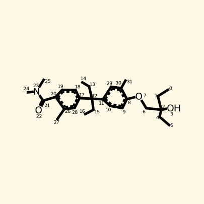 CCC(O)(CC)COc1ccc(C(CC)(CC)c2ccc(C(=O)N(C)C)c(C)c2)cc1C